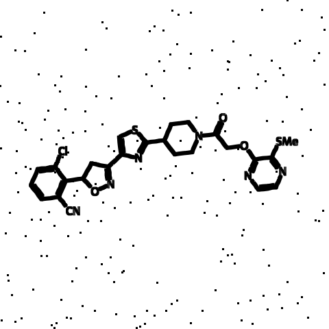 CSc1nccnc1OCC(=O)N1CCC(c2nc(C3=NOC(c4c(Cl)cccc4C#N)C3)cs2)CC1